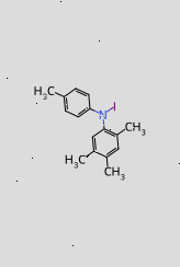 Cc1ccc(N(I)c2cc(C)c(C)cc2C)cc1